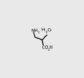 CC(CN)C(=O)O.O